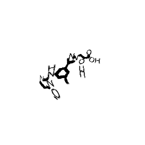 COc1ccnc(Nc2cc(C)cc(-c3cnn(C[C@H](O)C(=O)O)c3)c2)n1